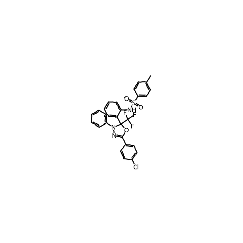 Cc1ccc(S(=O)(=O)Nc2ccccc2C2(C(F)(F)F)OC(c3ccc(Cl)cc3)=NN2c2ccccc2)cc1